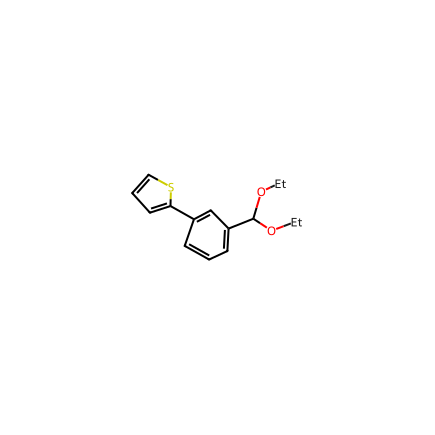 CCOC(OCC)c1cccc(-c2cccs2)c1